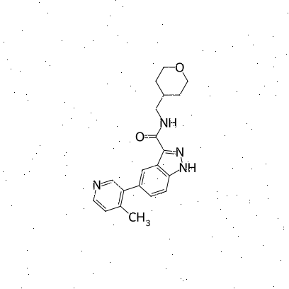 Cc1ccncc1-c1ccc2[nH]nc(C(=O)NCC3CCOCC3)c2c1